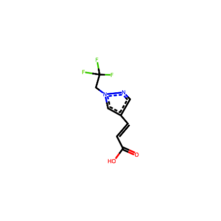 O=C(O)/C=C/c1cnn(CC(F)(F)F)c1